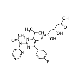 CC(=O)N(c1ccccn1)c1nc(-c2ccc(F)cc2)c(/C=C/[C@@H](O)C[C@@H](O)CC(=O)O)c(C(C)C)n1